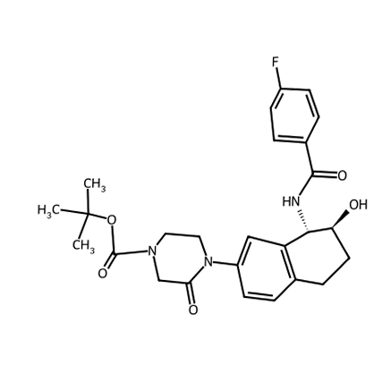 CC(C)(C)OC(=O)N1CCN(c2ccc3c(c2)[C@H](NC(=O)c2ccc(F)cc2)[C@@H](O)CC3)C(=O)C1